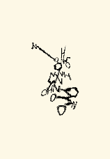 CCC(=O)Nc1cc(Nc2ncc(Cl)c(Nc3ccccc3C(=O)C(=O)N(C)C)n2)ccc1OCCN(C)C